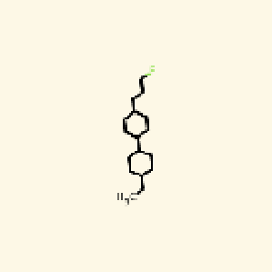 CCC1CCC(C2CCC(C/C=C/F)CC2)CC1